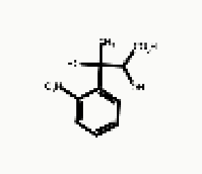 CC(O)(c1ccccc1[N+](=O)[O-])C(O)C(=O)O